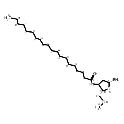 B[C@H]1CC(NC(=O)CCCCCCCCCCCCCCCCCCC)[C@@H](COC)O1